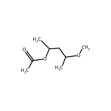 COC(C)CC(C)OC(C)=O